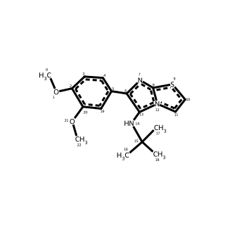 COc1ccc(-c2nc3sccn3c2NC(C)(C)C)cc1OC